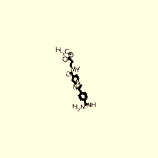 COC(=O)CCNC(=O)c1ccn2cc(-c3ccc(C(=N)N)cc3)nc2c1